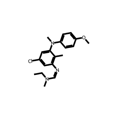 CCN(C)/C=N\c1cc(Cl)cc(N(C)c2ccc(OC)cc2)c1C